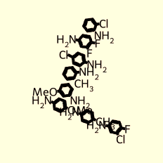 COc1ccc(N)cc1.COc1cccc(N)c1.Cc1ccc(N)cc1.Cc1ccccc1N.Nc1ccc(Cl)cc1.Nc1ccc(F)c(Cl)c1.Nc1ccc(F)c(F)c1.Nc1ccccc1Cl